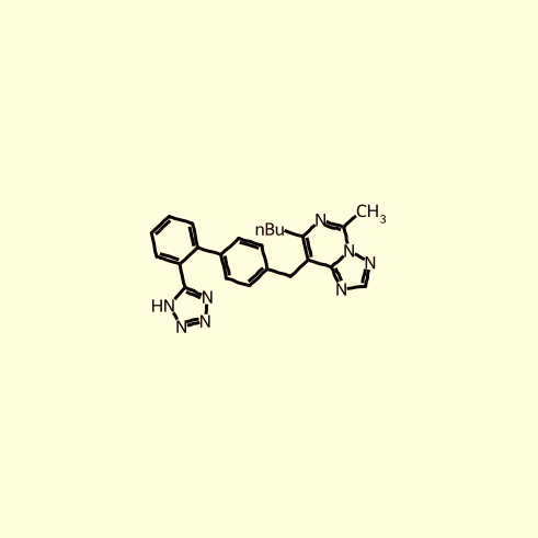 CCCCc1nc(C)n2ncnc2c1Cc1ccc(-c2ccccc2-c2nnn[nH]2)cc1